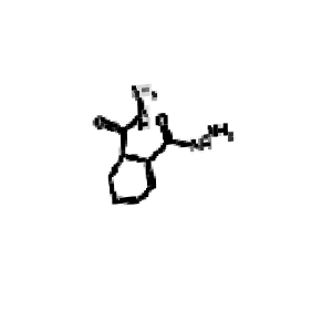 NNC(=O)C1=CC=CCC1C(=O)NN